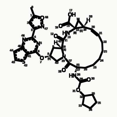 Cc1cc(-c2nc(O[C@@H]3C[C@H]4C(=O)N[C@]5(C(=O)O)C[C@H]5C=CCCCCC[C@H](NC(=O)OC5CCCC5)C(=O)N4C3)c3sccc3n2)no1